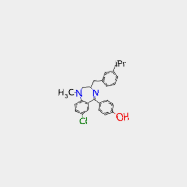 CC(C)c1cccc(CC2CN(C)c3ccc(Cl)cc3C(c3ccc(O)cc3)=N2)c1